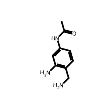 CC(=O)Nc1ccc(CN)c(N)c1